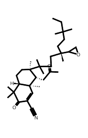 CCC(C)(C)CC[C@@](C)(CCC(C)(C)[C@]1(C)CC[C@H]2C(C)(C)C(=O)C(C#N)=C[C@]2(C)[C@H]1CC(C)=O)C1CO1